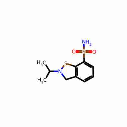 CC(C)N1Cc2cccc(S(N)(=O)=O)c2S1